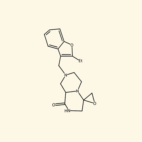 CCc1oc2ccccc2c1CN1CCN2C(C1)C(=O)NCC21CO1